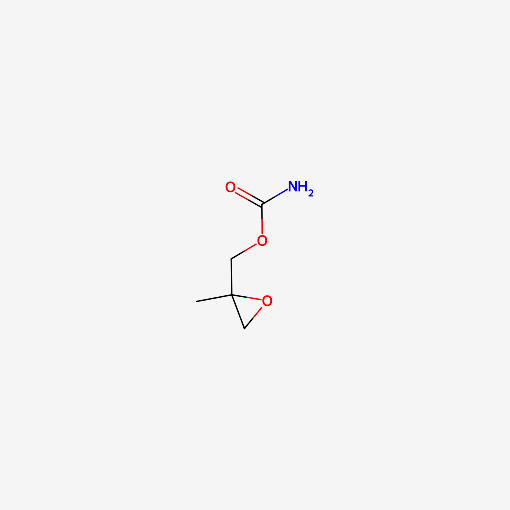 CC1(COC(N)=O)CO1